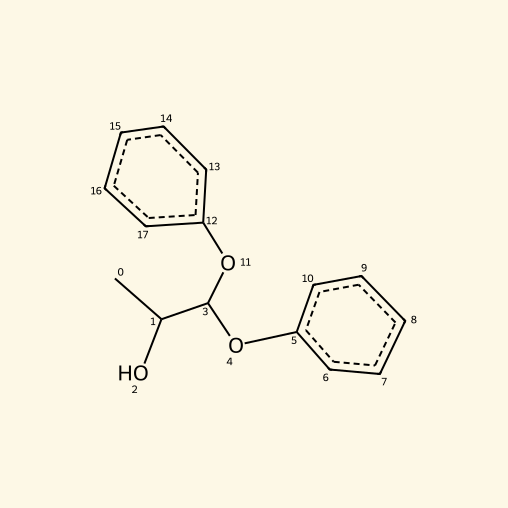 CC(O)C(Oc1ccccc1)Oc1ccccc1